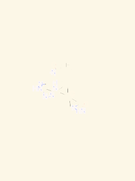 C=CC(=O)N1CCC(c2n[nH]c3ncnc(Nc4ccc(Oc5ccnc(C(=O)NC)c5)cc4F)c23)CC1